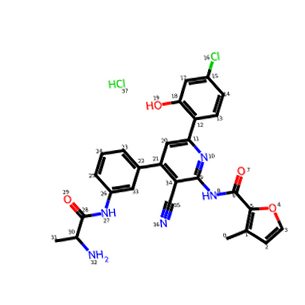 Cc1ccoc1C(=O)Nc1nc(-c2ccc(Cl)cc2O)cc(-c2cccc(NC(=O)C(C)N)c2)c1C#N.Cl